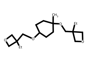 CCC1(COC2CCC(C)(OCC3(CC)COC3)CC2)COC1